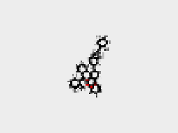 c1ccc(-c2nc(-c3ccccc3-c3c(-c4ccc5sc(-c6ccccc6)nc5c4)ccc4ccccc34)c3ccccc3n2)cc1